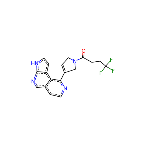 O=C(CCC(F)(F)F)N1CC=C(c2nccc3cnc4[nH]ccc4c23)C1